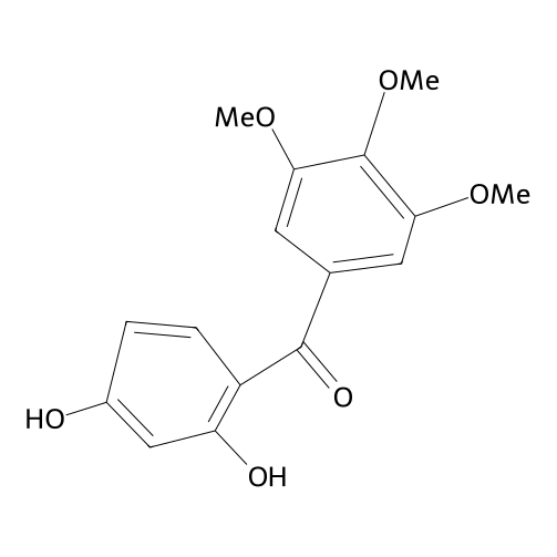 COc1cc(C(=O)c2ccc(O)cc2O)cc(OC)c1OC